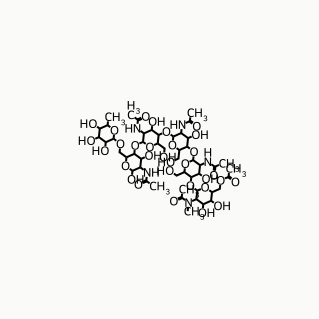 CC(=O)NC1C(O)OC(COC2OC(C)C(O)C(O)C2O)C(OC2OC(CO)C(OC3OC(CO)C(OC4OC(CO)C(OC5OC(COC(C)=O)C(O)C(O)C5N(C)C(C)=O)C(O)C4NC(C)=O)C(O)C3NC(C)=O)C(O)C2NC(C)=O)C1O